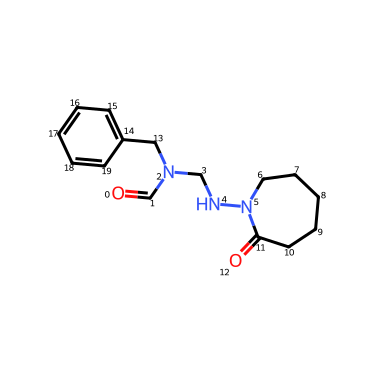 O=CN(CNN1CCCCCC1=O)Cc1ccccc1